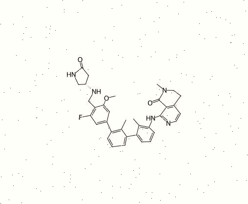 COc1cc(-c2cccc(-c3cccc(Nc4nccc5c4C(=O)N(C)CC5)c3C)c2C)cc(F)c1CN[C@@H]1CNC(=O)C1